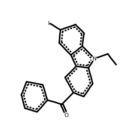 CCn1c2ccc(I)cc2c2cc(C(=O)c3ccccc3)ccc21